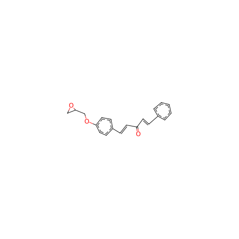 O=C(C=Cc1ccccc1)C=Cc1ccc(OCC2CO2)cc1